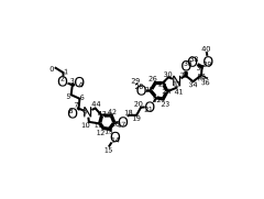 CCOC(=O)CCC(=O)N1Cc2cc(OC)c(OCCCOc3cc4c(cc3OC)CN(C(=O)C[C@H](C)C(=O)OC)C4)cc2C1